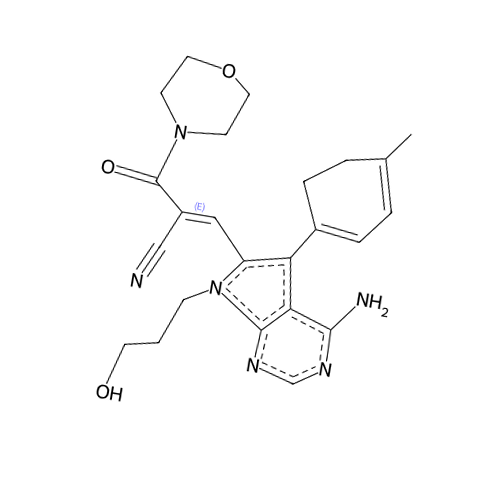 CC1=CC=C(c2c(/C=C(\C#N)C(=O)N3CCOCC3)n(CCCO)c3ncnc(N)c23)CC1